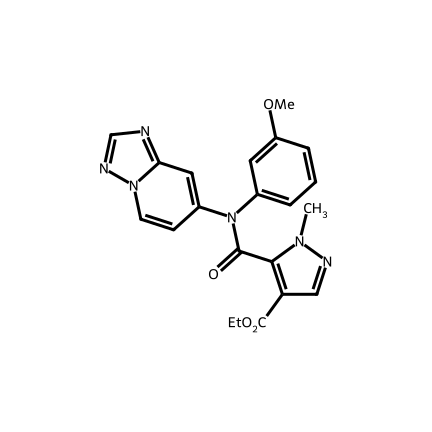 CCOC(=O)c1cnn(C)c1C(=O)N(c1cccc(OC)c1)c1ccn2ncnc2c1